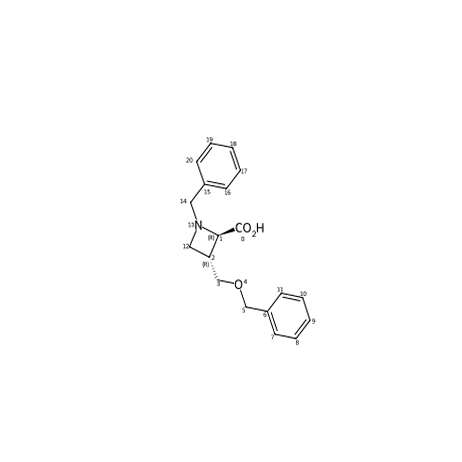 O=C(O)[C@H]1[C@H](COCc2ccccc2)CN1Cc1ccccc1